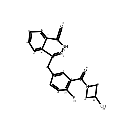 O=C(c1cc(Cc2n[nH]c(=O)c3ccccc23)ccc1F)N1CC(O)C1